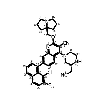 N#CC[C@H]1CN(c2c(C#N)c(OCC34CCCN3CCC4)nc3cc(-c4cccc5ccc(F)c(Cl)c45)ccc23)CCN1